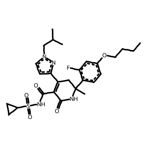 CCCCOc1ccc(C2(C)CC(c3ccn(CC(C)C)n3)=C(C(=O)NS(=O)(=O)C3CC3)C(=O)N2)c(F)c1